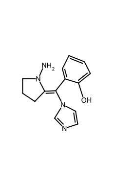 NN1CCCC1=C(c1ccccc1O)n1ccnc1